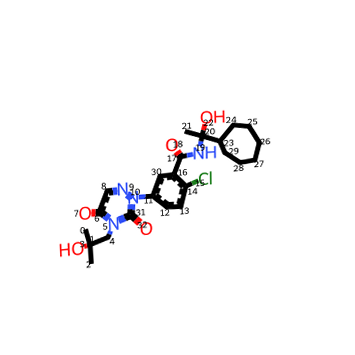 CC(C)(O)Cn1c(=O)cnn(-c2ccc(Cl)c(C(=O)NC(C)(O)C3CCCCCC3)c2)c1=O